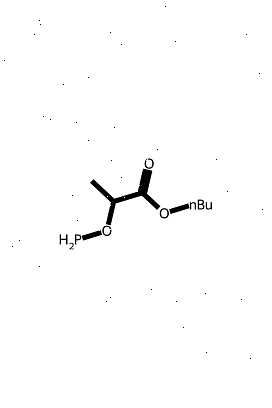 CCCCOC(=O)C(C)OP